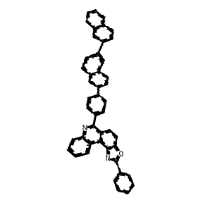 c1ccc(-c2nc3c(ccc4c(-c5ccc(-c6ccc7cc(-c8ccc9ccccc9c8)ccc7c6)cc5)nc5ccccc5c43)o2)cc1